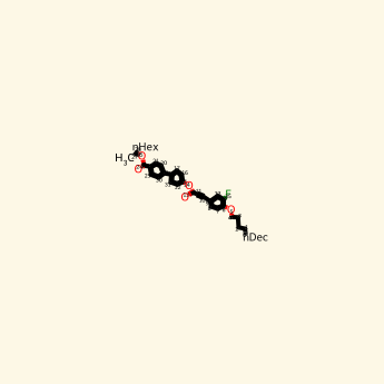 CCCCCCCCCCCCCCOc1ccc(C#CC(=O)Oc2ccc(-c3ccc(C(=O)O[C@@H](C)CCCCCC)cc3)cc2)cc1F